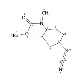 CN(C(=O)OC(C)(C)C)C1CCC(N=[N+]=[N-])CC1